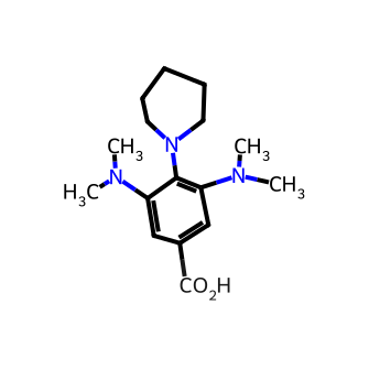 CN(C)c1cc(C(=O)O)cc(N(C)C)c1N1CCCCC1